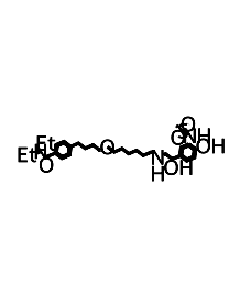 CCN(CC)C(=O)c1ccc(CCCCOCCCCCCNCC(O)c2ccc(O)c(NS(C)(=O)=O)c2)cc1